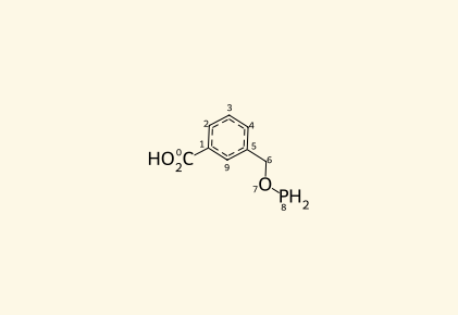 O=C(O)c1cccc(COP)c1